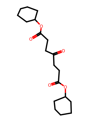 O=C(CCC(=O)OC1CCCCC1)CCC(=O)OC1CCCCC1